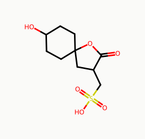 O=C1OC2(CCC(O)CC2)CC1CS(=O)(=O)O